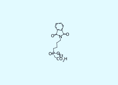 CCOP(=O)(CCCCN1C(=O)c2ccccc2C1=O)CC(=O)O